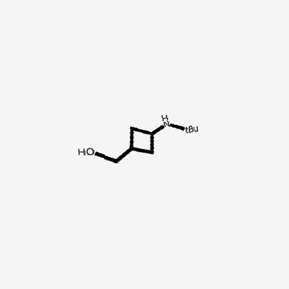 CC(C)(C)NC1CC(CO)C1